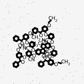 C=CCOc1ccc(C(=O)c2ccccc2)c(Oc2cccc(Oc3cc4c(cc3Oc3cccc(Oc5cc(OCC=C)ccc5C(=O)c5ccccc5)c3C#N)C3(CC(C)(C)c5cc(Oc6cccc(Oc7cc(OC=C)ccc7C(=O)c7ccccc7)c6C#N)c(Oc6cccc(Oc7cc(OC=C)ccc7C(=O)c7ccccc7)c6C#N)cc53)CC4(C)C)c2C#N)c1